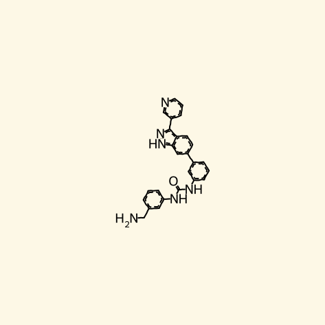 NCc1cccc(NC(=O)Nc2cccc(-c3ccc4c(-c5cccnc5)n[nH]c4c3)c2)c1